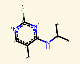 Cc1cnc(Cl)nc1NC(C)C